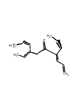 C=C/C=C(\C=C/C)C(=O)CC(/C=C\C)=C/C